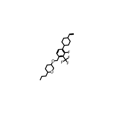 C=CC1CCC(c2ccc(COC3CCC(CCC)OC3)c(C(F)(F)F)c2F)CC1